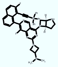 CC(C)[Si](C#Cc1c(F)ccc2cccc(-c3ncc4c(N5C[C@H]6NCC[C@H]65)nc(N5CC(N(C)C)C5)nc4c3F)c12)(C(C)C)C(C)C